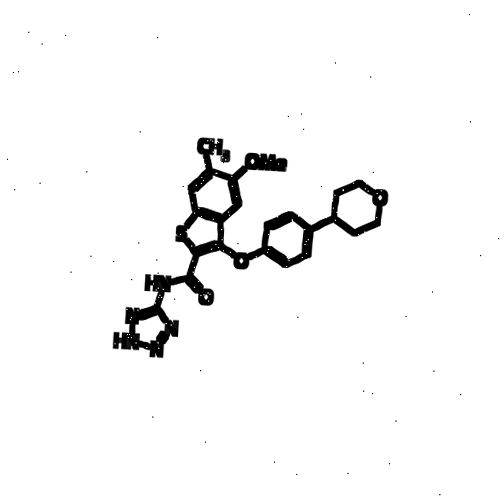 COc1cc2c(Oc3ccc(C4CCOCC4)cc3)c(C(=O)Nc3nn[nH]n3)sc2cc1C